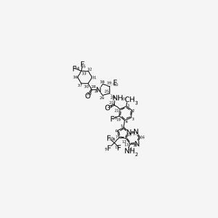 Cc1ccc(-c2cc(C(F)(F)F)c3c(N)ncnn23)c(F)c1C(=O)N[C@@H]1CN(C(=O)C2CCC(F)(F)CC2)C[C@@H]1F